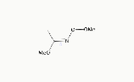 COO/N=C(\C)OC